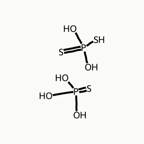 OP(O)(=S)S.OP(O)(O)=S